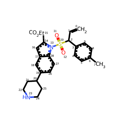 C=CC(c1ccc(C)cc1)S(=O)(=O)n1c(C(=O)OCC)cc2cc(C3CCNCC3)ccc21